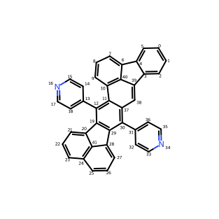 c1ccc2c(c1)c1cccc3c4c(-c5ccncc5)c5c6cccc7cccc(c5c(-c5ccncc5)c4cc2c13)c76